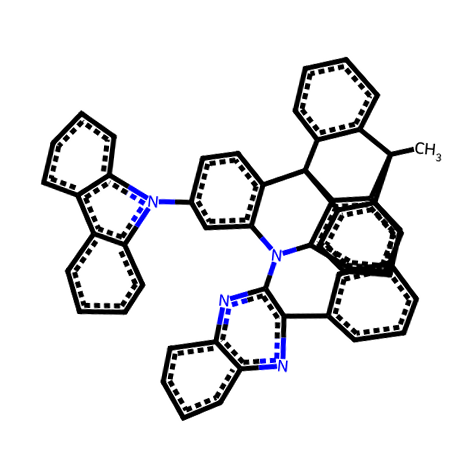 CC12c3ccccc3C3(c4ccc(-n5c6ccccc6c6ccccc65)cc4N(c4nc5ccccc5nc4-c4ccccc4)c4cccc1c43)c1ccccc12